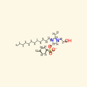 CCCCCCCCCCCCN1CC[N+](CCO)=C1CC.Cc1ccc(S(=O)(=O)[O-])cc1